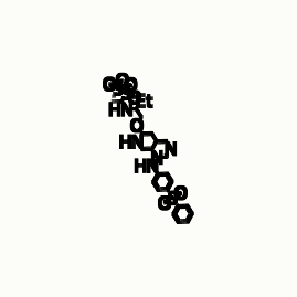 CCC(COC1=CC2=CN=CN(Nc3ccc(S(=O)(=O)c4ccccc4)cc3)C2=CN1)NC(C)S(=O)(=O)S(C)(=O)=O